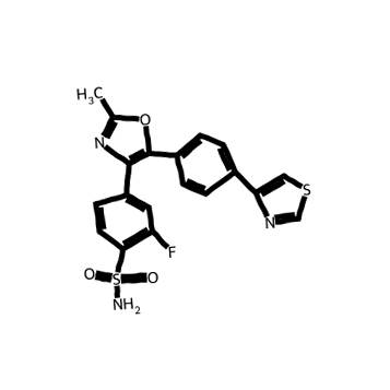 Cc1nc(-c2ccc(S(N)(=O)=O)c(F)c2)c(-c2ccc(-c3cscn3)cc2)o1